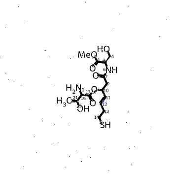 COC(=O)[C@@H](CO)NC(=O)CC(/C=C/CCS)OC(=O)C(N)C(C)O